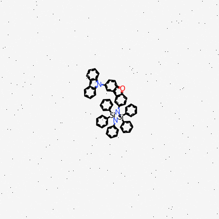 c1ccc(N2[Si](c3ccccc3)(c3ccccc3)N(c3ccc4oc5ccc(-n6c7ccccc7c7ccccc76)cc5c4c3)[Si]2(c2ccccc2)c2ccccc2)cc1